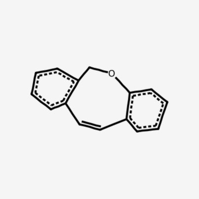 C1=Cc2ccccc2OCc2ccccc21